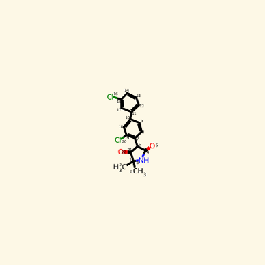 CC1(C)NC(=O)C(c2ccc(-c3cccc(Cl)c3)cc2Cl)C1=O